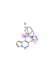 OC12CC3C[C@H](C1)C(Nc1c(-c4nnco4)cnn4cccc14)[C@@H](C3)C2